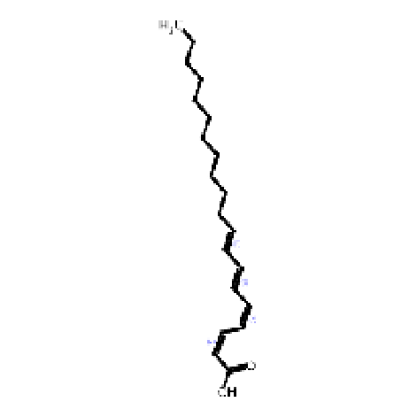 CCCCCCCCCCC/C=C/C=C/C=C\C=C/C(=O)O